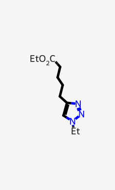 CCOC(=O)CCCCc1cn(CC)nn1